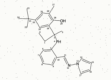 CCC(C)(Pc1ccccc1/C=N/n1cccc1)c1cc(C(C)(C)C)cc(C)c1O